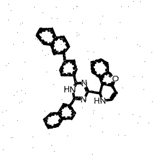 C1=Cc2oc3ccccc3c2C(C2=NC(c3ccc(-c4ccc5ccccc5c4)cc3)NC(c3ccc4ccccc4c3)=N2)N1